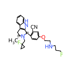 C[C@@H]1Cc2c([nH]c3ccccc23)[C@@H](c2ccc(OCCNCCCF)cc2C#N)N1CC1(F)CC1